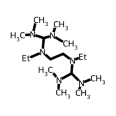 CCN(CCN(CC)C(N(C)C)N(C)C)C(N(C)C)N(C)C